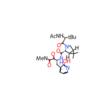 CNC(=O)C(=O)[C@H](Cc1cccnc1O)NC(=O)[C@@H]1[C@@H]2[C@H](CN1C(=O)[C@@H](NC(C)=O)C(C)(C)C)C2(C)C